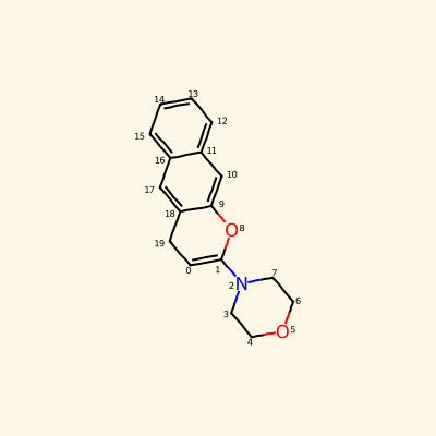 C1=C(N2CCOCC2)Oc2cc3ccccc3cc2C1